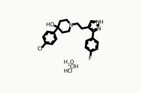 Cl.Cl.O.OC1(c2ccc(Cl)cc2)CCN(CCc2c[nH]nc2-c2ccc(F)cc2)CC1